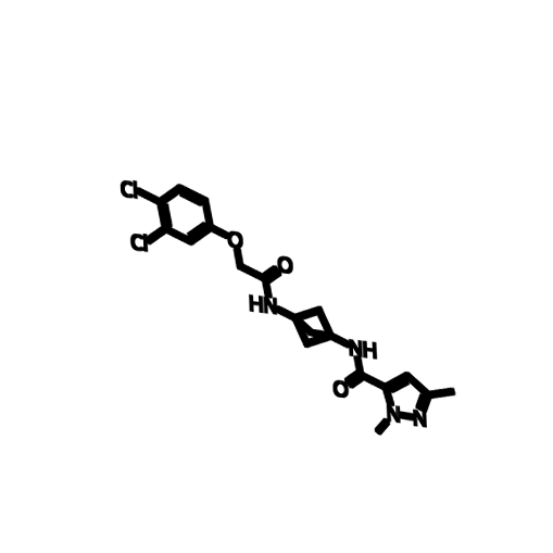 Cc1cc(C(=O)NC23CC(NC(=O)COc4ccc(Cl)c(Cl)c4)(C2)C3)n(C)n1